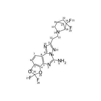 Nc1nc2c3c(ccc2c2nc(CCN4CC5CC4C(F)(F)C5)nn12)OC(F)(F)O3